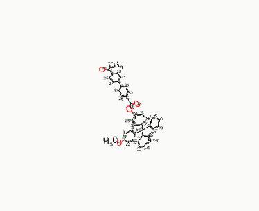 COc1ccc(C2(c3ccc(OC(=O)c4ccc(-c5ccc(C(C)=O)cc5)cc4)cc3)c3ccccc3-c3ccccc32)cc1